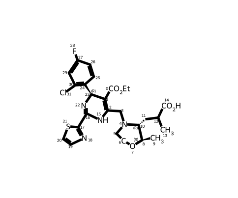 CCOC(=O)C1=C(CN2CCO[C@H](C)[C@H]2CC(C)C(=O)O)NC(c2nccs2)=N[C@H]1c1ccc(F)cc1Cl